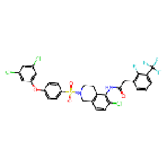 O=C(Cc1cccc(C(F)(F)F)c1F)Nc1c(Cl)ccc2c1CCN(S(=O)(=O)c1ccc(Oc3cc(Cl)cc(Cl)c3)cc1)C2